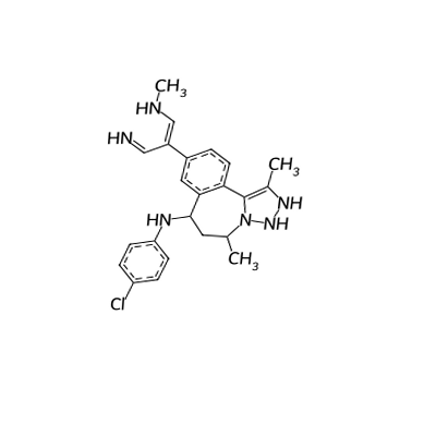 CN/C=C(\C=N)c1ccc2c(c1)C(Nc1ccc(Cl)cc1)CC(C)N1NNC(C)=C21